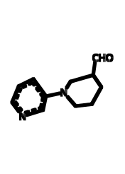 O=CC1CCCN(c2cccnc2)C1